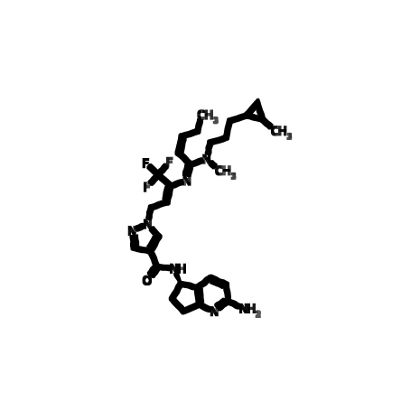 CC\C=C/C(=N\C(=C\Cn1cc(C(=O)N[C@@H]2CCc3nc(N)ccc32)cn1)C(F)(F)F)N(C)CCCC1CC1C